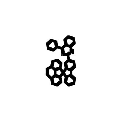 c1ccc(-c2nc(-c3ccc4c(c3)C3(c5ccccc5-4)c4cccc5ccc6cccc3c6c45)nc3ccccc23)cc1